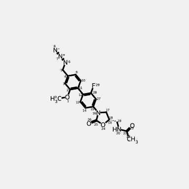 COc1cc(CN=[N+]=[N-])ccc1-c1ccc(N2C[C@H](CNC(C)=O)OC2=O)cc1F